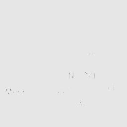 COc1ccc(CN(C(=O)C(CCCl)C(C)=O)[C@H](C)COCc2ccccc2)cc1